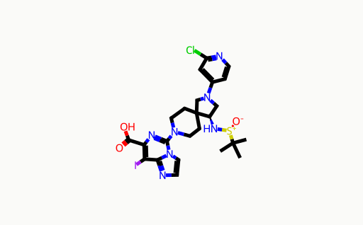 CC(C)(C)[S@@+]([O-])N[C@@H]1CN(c2ccnc(Cl)c2)CC12CCN(c1nc(C(=O)O)c(I)c3nccn13)CC2